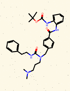 CN(C)CCCN(Cc1ccc(C(=O)Nc2ccccc2NC(=O)OC(C)(C)C)cc1)C(=O)NCCc1ccccc1